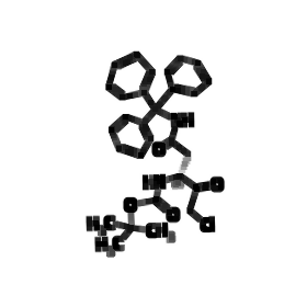 CC(C)(C)OC(=O)N[C@H](CC(=O)NC(c1ccccc1)(c1ccccc1)c1ccccc1)C(=O)CCl